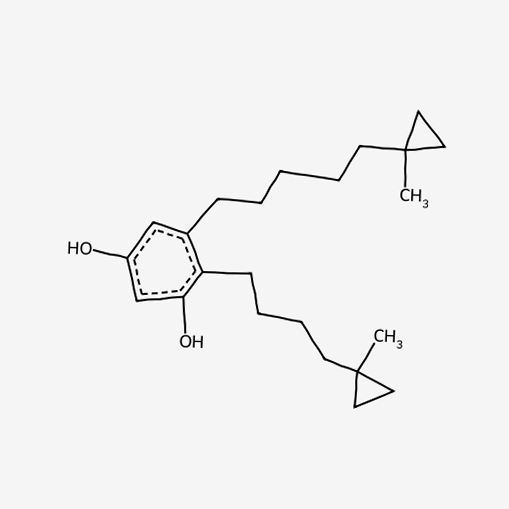 CC1(CCCCCc2cc(O)cc(O)c2CCCCC2(C)CC2)CC1